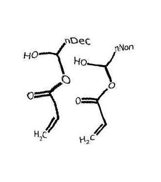 C=CC(=O)OC(O)CCCCCCCCC.C=CC(=O)OC(O)CCCCCCCCCC